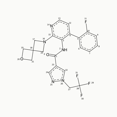 O=C(Nc1c(-c2ccccc2F)ccnc1N1CC2(COC2)C1)c1cnn(CC(F)(F)F)c1